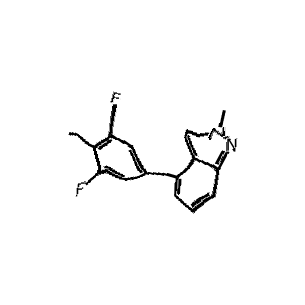 Cc1c(F)cc(-c2cccc3nn(C)cc23)cc1F